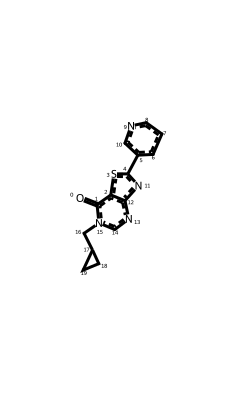 O=c1c2sc(-c3cccnc3)nc2ncn1CC1CC1